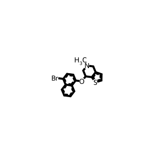 CN1Cc2ccsc2C(Oc2ccc(Br)c3ccccc23)C1